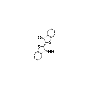 N=C1/C(=C2\Sc3ccccc3C2=O)Sc2ccccc21